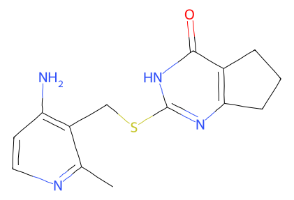 Cc1nccc(N)c1CSc1nc2c(c(=O)[nH]1)CCC2